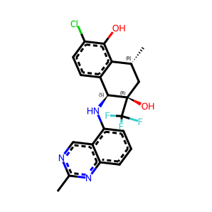 Cc1ncc2c(N[C@H]3c4ccc(Cl)c(O)c4[C@H](C)C[C@]3(O)C(F)(F)F)cccc2n1